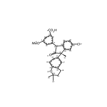 COc1cc(C(=O)O)cc(N2C(=O)[C@@](C)(c3ccc4c(c3)CCC(C)(C)O4)c3cc(Cl)ccc32)c1